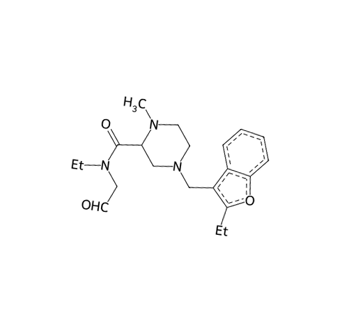 CCc1oc2ccccc2c1CN1CCN(C)C(C(=O)N(CC)CC=O)C1